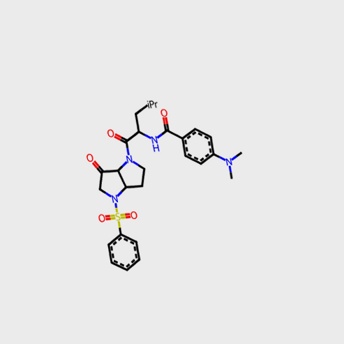 CC(C)CC(NC(=O)c1ccc(N(C)C)cc1)C(=O)N1CCC2C1C(=O)CN2S(=O)(=O)c1ccccc1